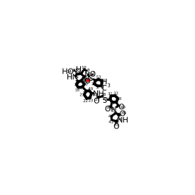 Cc1ccc(S(=O)(=O)N2CC[C@@H]3[C@H](CO)Nc4ccc(-c5cccc(NC(=O)CSc6cccc7c6C(=O)N(C6CCC(=O)NC6=O)C7=O)c5)cc4[C@@H]32)cc1